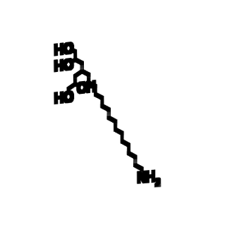 NCCCCCCCCCCCCCCCCCC(CC(O)CO)CC(O)CO